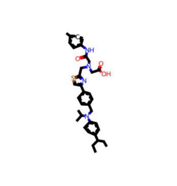 CCC(CC)c1ccc(N(Cc2ccc(-c3csc(CN(CC(=O)O)CC(=O)Nc4ccc(C)cc4)n3)cc2)C(C)C)cc1